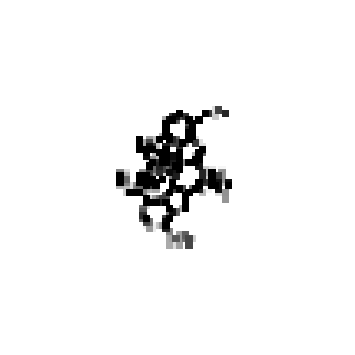 CCCc1ccc(CC)c2c1C=C(C)[CH]2[Zr]([Br])([Br])([CH]1C(C)=Cc2c(CCC)ccc(CC)c21)=[Si](C)C